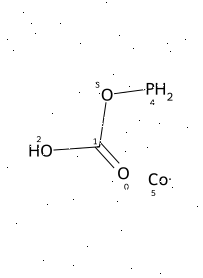 O=C(O)OP.[Co]